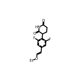 CCO/C=C/c1cc(F)c(C2CCC(=O)NC2=O)c(F)c1